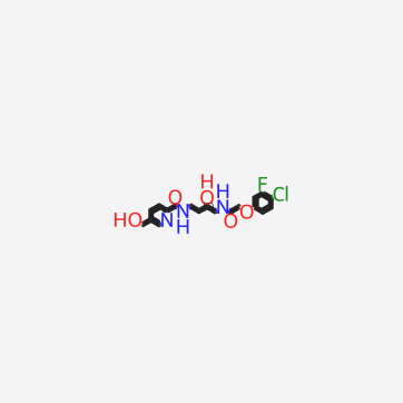 O=C(COc1ccc(Cl)c(F)c1)NC[C@@H](O)CCNC(=O)c1ccc(CO)cn1